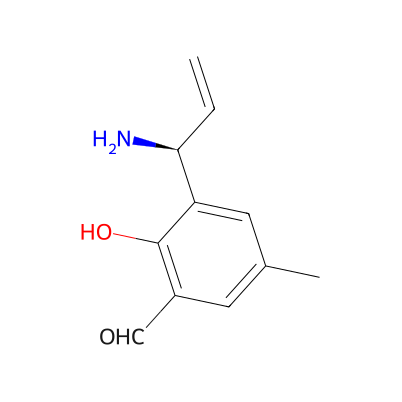 C=C[C@H](N)c1cc(C)cc(C=O)c1O